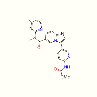 COC(=O)Nc1ccc(-c2cnc3ccc(C(=O)N(C)c4nccc(C)n4)cn23)cn1